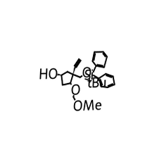 C#C[C@]1(CO[Si](c2ccccc2)(c2ccccc2)C(C)(C)C)C[C@H](O)C[C@@H]1OCOC